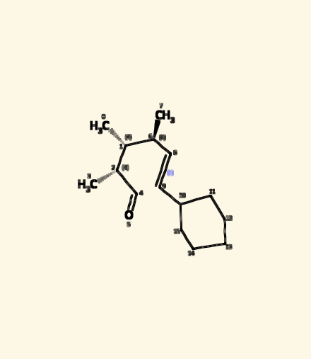 C[C@@H]([C@@H](C)C=O)[C@@H](C)/C=C/C1CCCCC1